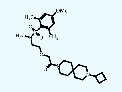 COc1cc(C)c(S(=O)(=O)N(C)CCOCC(=O)N2CCC3(CC2)CCN(C2CCC2)CC3)c(C)c1